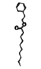 CCCCCCCCCC(=O)OCCc1ccccc1